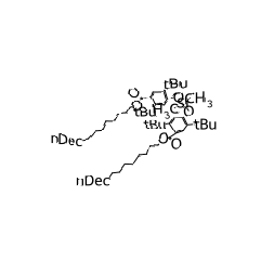 CCCCCCCCCCCCCCCCCCOC(=O)c1cc(C(C)(C)C)c(O[Si](C)(C)Oc2cc(C(C)(C)C)c(C(=O)OCCCCCCCCCCCCCCCCCC)cc2C(C)(C)C)cc1C(C)(C)C